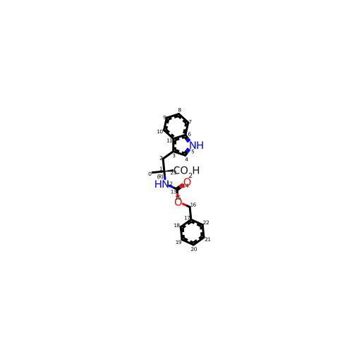 C[C@](Cc1c[nH]c2ccccc12)(NC(=O)OCc1ccccc1)C(=O)O